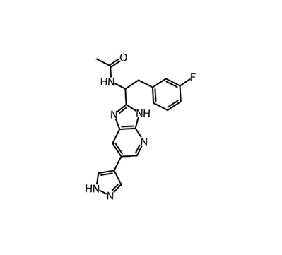 CC(=O)NC(Cc1cccc(F)c1)c1nc2cc(-c3cn[nH]c3)cnc2[nH]1